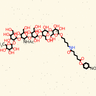 CC(=O)N[C@H]1C(O[C@@H]2OC(CO)[C@H](O)C(O)[C@@H]2O[C@@H]2OC(C)C(O)[C@H](O)[C@@H]2O)[C@@H](O)C(CO)O[C@H]1O[C@@H]1C(O)[C@@H](O[C@H]2C(CO)O[C@@H](O[C@@H]3C(CO)O[C@@H](OCCCCCNC(=O)CCCCC(=O)Oc4ccc([N+](=O)[O-])cc4)[C@@H](O)C3O)[C@@H](O)C2O)OC(CO)[C@@H]1O